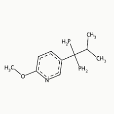 COc1ccc(C(P)(P)C(C)C)cn1